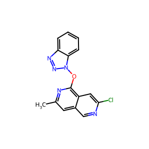 Cc1cc2cnc(Cl)cc2c(On2nnc3ccccc32)n1